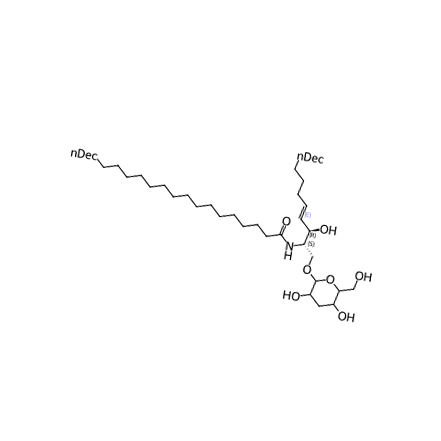 CCCCCCCCCCCCC/C=C/[C@@H](O)[C@H](COC1OC(CO)C(O)CC1O)NC(=O)CCCCCCCCCCCCCCCCCCCCCCCCC